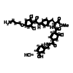 COC(=O)[C@H](Cc1ccc(NC(=O)c2c(Cl)cc(OCCCN)cc2Cl)cc1)NC(=O)c1ccc(C(=O)NCc2cccc(O)c2)cc1Cl.Cl